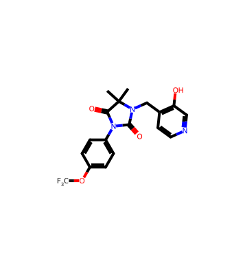 CC1(C)C(=O)N(c2ccc(OC(F)(F)F)cc2)C(=O)N1Cc1ccncc1O